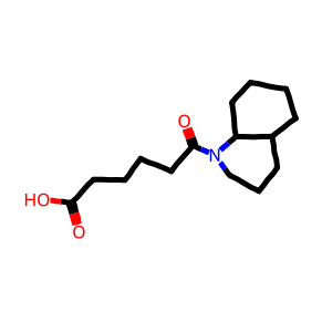 O=C(O)CCCCC(=O)N1CCCC2CCCCC21